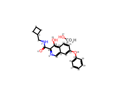 O=C(NCC1CCC1)c1ncc2cc(Oc3ccccc3)ccc2c1O.O=C(O)O